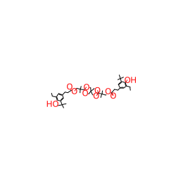 CCc1cc(CCC(=O)OCC(C)(C)C2OCC3(CO2)COC(C(C)(C)COC(=O)CCc2cc(CC)c(O)c(C(C)(C)C)c2)OC3)cc(C(C)(C)C)c1O